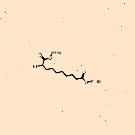 CCCCCCOC(=O)CCCCCCCC(CC)C(=O)OCCCCCC